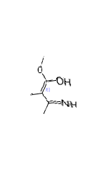 CO/C(O)=C(\C)C(C)=N